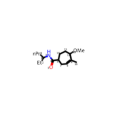 CCCC(CC)NC(=O)C1CC=C(C)C(OC)CC1